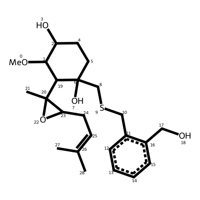 COC1C(O)CCC(O)(CSCc2ccccc2CO)C1C1(C)OC1CC=C(C)C